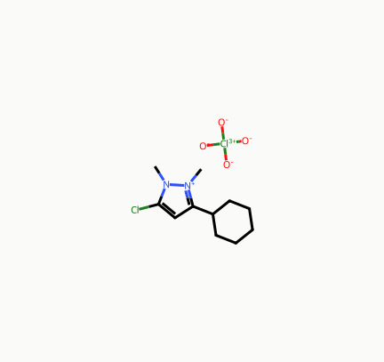 Cn1c(Cl)cc(C2CCCCC2)[n+]1C.[O-][Cl+3]([O-])([O-])[O-]